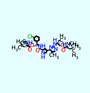 CC[C@@H](COC(=O)[C@H](CC(C)C)NC)Nc1ncc(C)c(-c2c[nH]c(C(=O)N[C@H](COC(=O)[C@H](CC(C)C)NC)c3cccc(Cl)c3)c2)n1